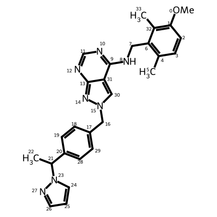 COc1ccc(C)c(CNc2ncnc3nn(Cc4ccc(C(C)n5cccn5)cc4)cc23)c1C